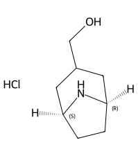 Cl.OCC1C[C@H]2CC[C@@H](C1)N2